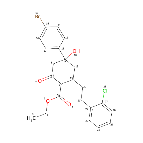 CCOC(=O)C1C(=O)CC(O)(c2ccc(Br)cc2)CC1CCc1ccccc1Cl